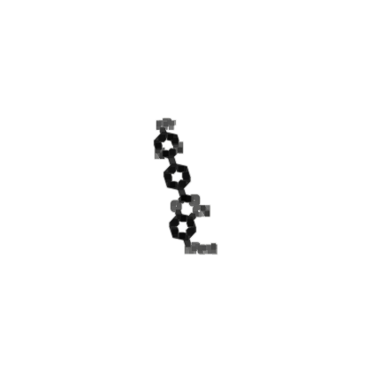 CCCCCc1ccc(OC(=O)c2ccc(-c3ncc(CCC)cn3)cc2)c(C#N)c1